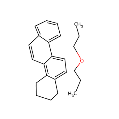 CCCOCCC.c1ccc2c(c1)ccc1c3c(ccc12)CCCC3